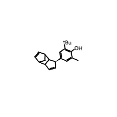 Cc1cc([C@H]2C=CC3C4C=CC(C4)C32)cc(C(C)(C)C)c1O